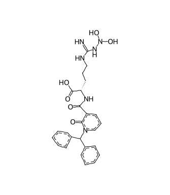 N=C(NCCC[C@H](NC(=O)c1cccn(C(c2ccccc2)c2ccccc2)c1=O)C(=O)O)NN(O)O